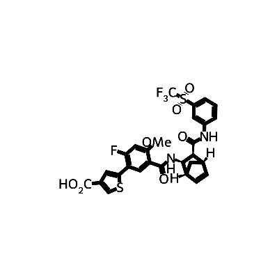 COc1cc(F)c(-c2cc(C(=O)O)cs2)cc1C(=O)N[C@H]1[C@@H](C(=O)Nc2cccc(S(=O)(=O)C(F)(F)F)c2)[C@@H]2C=C[C@H]1C2